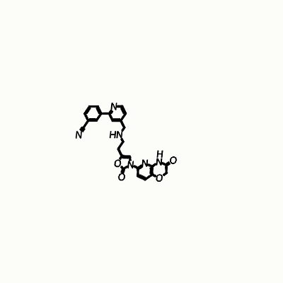 N#Cc1cccc(-c2cc(CNCCc3cn(-c4ccc5c(n4)NC(=O)CO5)c(=O)o3)ccn2)c1